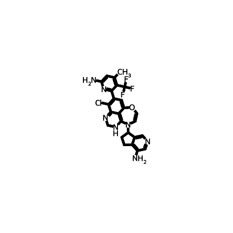 Cc1cc(N)nc(-c2cc3c4c(c2Cl)=NCNC=4N(C2CCc4c(N)cncc42)C=CO3)c1C(F)(F)F